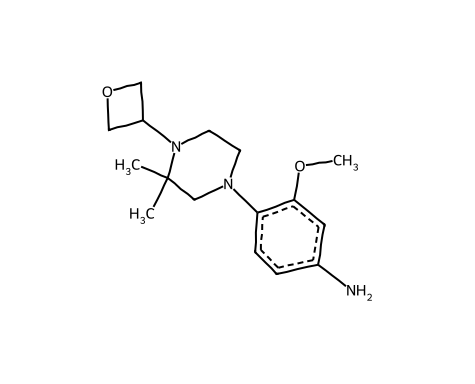 COc1cc(N)ccc1N1CCN(C2COC2)C(C)(C)C1